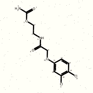 NC(=O)OCCNC(=O)COc1ccc(Cl)c(Cl)c1